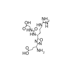 N=C(N)NCCC[C@H](NC(=O)NCC(=O)O)c1nc([C@@H](N)CCC(=O)O)no1